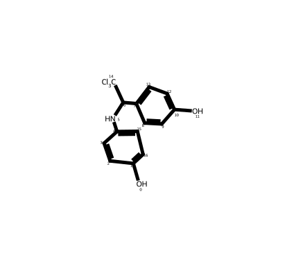 Oc1ccc(NC(c2ccc(O)cc2)C(Cl)(Cl)Cl)cc1